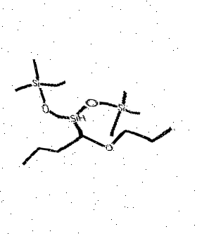 [CH2]CCOC(CCC)[SiH](O[Si](C)(C)C)O[Si](C)(C)C